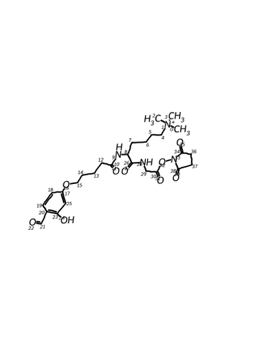 C[N+](C)(C)CCCCC(NC(=O)CCCCOc1ccc(C=O)c(O)c1)C(=O)NCC(=O)ON1C(=O)CCC1=O